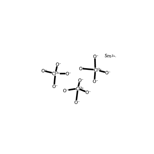 [O-][Cl+3]([O-])([O-])[O-].[O-][Cl+3]([O-])([O-])[O-].[O-][Cl+3]([O-])([O-])[O-].[Sm+3]